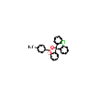 N#Cc1ccc(C(=O)OC(c2ccccc2)(c2ccccc2)c2ccccc2Cl)cc1